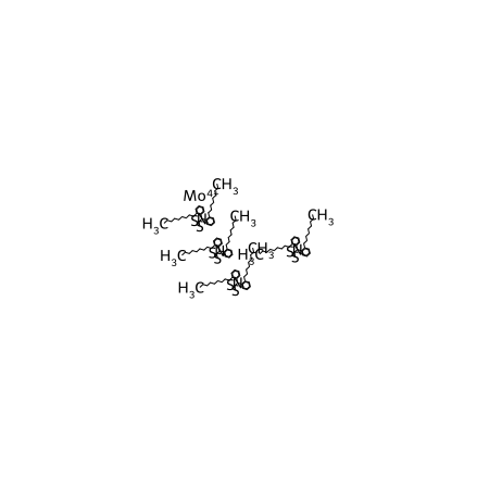 CCCCCCCCCc1ccccc1N(C(=S)[S-])c1ccccc1CCCCCCCCC.CCCCCCCCCc1ccccc1N(C(=S)[S-])c1ccccc1CCCCCCCCC.CCCCCCCCCc1ccccc1N(C(=S)[S-])c1ccccc1CCCCCCCCC.CCCCCCCCCc1ccccc1N(C(=S)[S-])c1ccccc1CCCCCCCCC.[Mo+4]